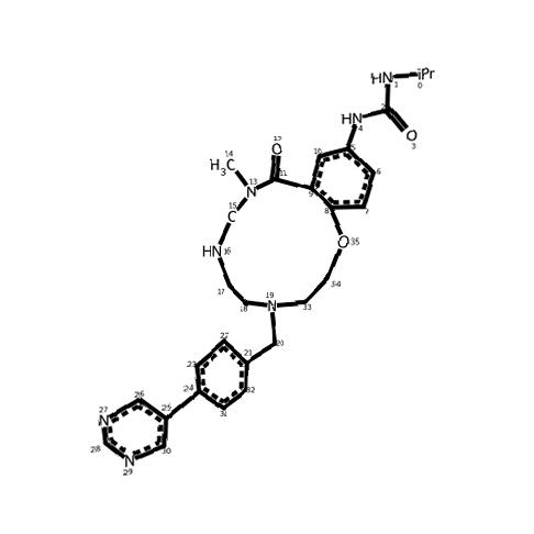 CC(C)NC(=O)Nc1ccc2c(c1)C(=O)N(C)CNCCN(Cc1ccc(-c3cncnc3)cc1)CCO2